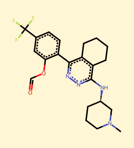 CN1CCC[C@@H](Nc2nnc(-c3ccc(C(F)(F)F)cc3OC=O)c3c2CCCC3)C1